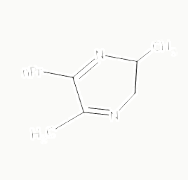 CCCC1=NC(C)CN=C1C